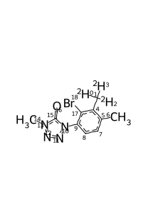 [2H]C([2H])([2H])c1c(C)ccc(-n2nnn(C)c2=O)c1Br